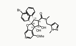 COc1cncc2c1[C@]1(O)[C@H](O)[C@H](C(=O)N(C)Cc3ccnn3C)[C@@H](c3ccccc3)[C@]1(c1ccc(Br)cc1)O2